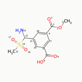 COC(=O)c1cc(C(=O)O)cc(C(N)S(C)(=O)=O)c1